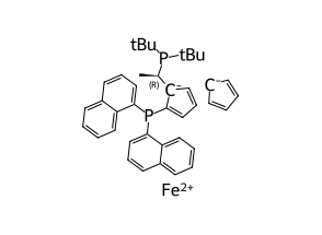 C[C@H]([c-]1cccc1P(c1cccc2ccccc12)c1cccc2ccccc12)P(C(C)(C)C)C(C)(C)C.[Fe+2].c1cc[cH-]c1